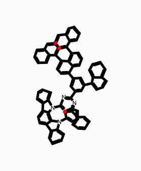 c1ccc(-c2nc(-c3cc(-c4cccc5ccccc45)cc(-c4ccc(-c5cccc6ccccc56)c5c(-c6cccc7ccccc67)cccc45)c3)nc(-n3c4ccccc4c4ccc5c6ccccc6n(-c6ccccc6)c5c43)n2)cc1